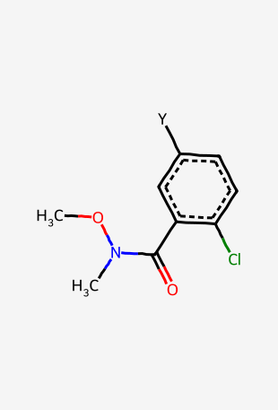 CON(C)C(=O)c1c[c]([Y])ccc1Cl